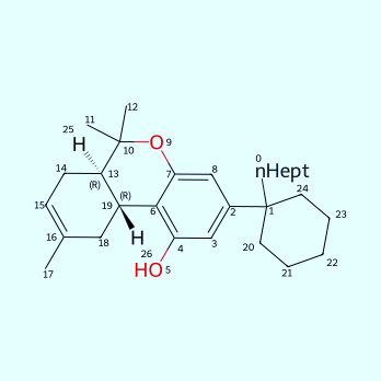 CCCCCCCC1(c2cc(O)c3c(c2)OC(C)(C)[C@@H]2CC=C(C)C[C@@H]32)CCCCC1